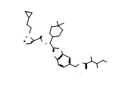 C[C@@H](NC(=O)C(F)C(F)CF)c1ccc2nc([C@@H](NC(=O)c3cnnn3CCC3CC3)C3CCC(F)(F)CC3)[nH]c2c1